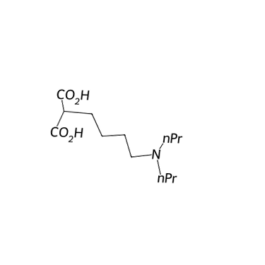 CCCN(CCC)CCCCC(C(=O)O)C(=O)O